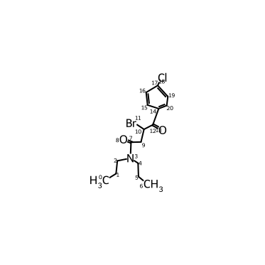 CCCN(CCC)C(=O)CC(Br)C(=O)c1ccc(Cl)cc1